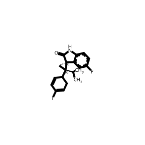 CC(C)[C@@]1(C2C=CC(I)=CC2)C[C@@]12C(=O)Nc1ccc(F)cc12